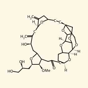 C=C1C[C@@H]2OC(CC[C@]34CO[C@@H]5C6OC(C3)C(O4)[C@@H]6OC3CC[C@H](CC(=O)CC4C(C[C@H]1O)O[C@H](C[C@H](O)CO)[C@@H]4OC)O[C@@H]35)CC2=C